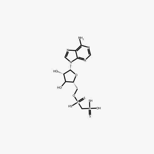 Nc1ncnc2c1ncn2[C@@H]1O[C@H](COP(=S)(S)CP(O)(=S)S)C(O)[C@@H]1O